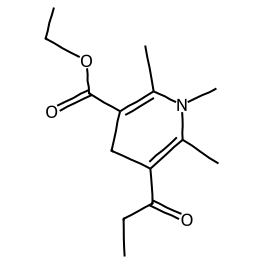 CCOC(=O)C1=C(C)N(C)C(C)=C(C(=O)CC)C1